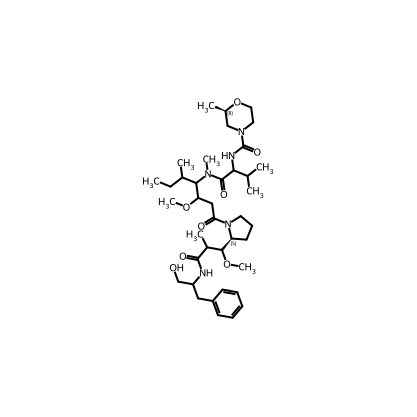 CCC(C)C(C(CC(=O)N1CCC[C@H]1C(OC)C(C)C(=O)NC(CO)Cc1ccccc1)OC)N(C)C(=O)C(NC(=O)N1CCO[C@H](C)C1)C(C)C